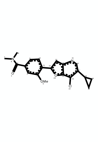 COc1cc(C(=O)N(C)C)ccc1-c1cc2ncc(C3CC3)c(Cl)c2o1